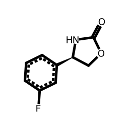 O=C1N[C@H](c2cccc(F)c2)CO1